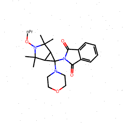 CCCON1C(C)(C)C2C(C1(C)C)C2(N1CCOCC1)N1C(=O)c2ccccc2C1=O